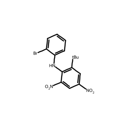 CC(C)(C)c1cc([N+](=O)[O-])cc([N+](=O)[O-])c1Nc1ccccc1Br